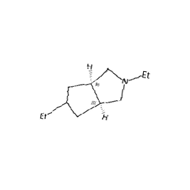 CCC1C[C@@H]2CN(CC)C[C@@H]2C1